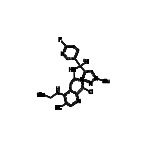 [2H]C(Nc1cc(Cl)c2ncc(C#N)c(NCC(C)(C)C)c2c1)(c1ccc(F)nc1)c1cn(C(C)(C)C)nn1